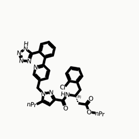 CCCOC(=O)C[C@@H](Cc1ccccc1Cl)NC(=O)c1cc(CCC)n(Cc2ccc(-c3ccccc3-c3nnn[nH]3)nc2)n1